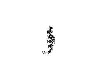 COCCCn1cc(C(=O)N[C@@H]2CCc3cc(-c4noc(C5CC5)n4)ccc32)cn1